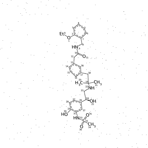 CCOc1ccccc1CNC(=O)Cc1cccc(CC(C)(C)NC[C@@H](O)c2ccc(O)c(NS(C)(=O)=O)c2)c1